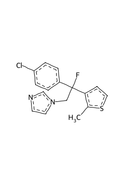 Cc1sccc1C(F)(Cn1ccnc1)c1ccc(Cl)cc1